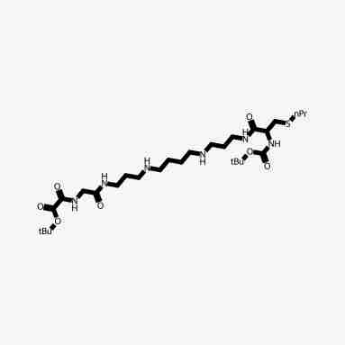 [CH2][CH]CSCC(NC(=O)OC(C)(C)C)C(=O)NCCCNCCCCNCCCNC(=O)CNC(=O)C(=O)OC(C)(C)C